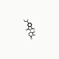 CCC(C)c1ccc2c(c1)C(=O)N([C@H]1CCC(=O)NC1=O)C2=O